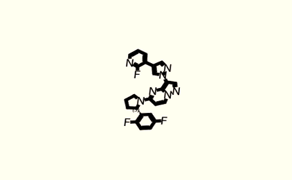 Fc1ccc(F)c([C@@H]2CCCN2c2ccn3ncc(-n4cc(-c5cccnc5F)cn4)c3n2)c1